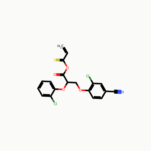 C=CC(=S)OC(=O)C(COc1ccc(C#N)cc1Cl)Oc1ccccc1Cl